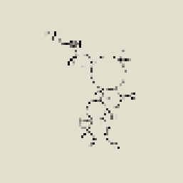 CC1(C)CCC2C(=O)C[C@@H]3[C@@]4(C)C=C(C#N)C(=O)C(C)(C)[C@@H]4CC[C@@]3(C)[C@]2(C)CC[C@@](C)(CC(=O)NCC(F)(F)F)CC1